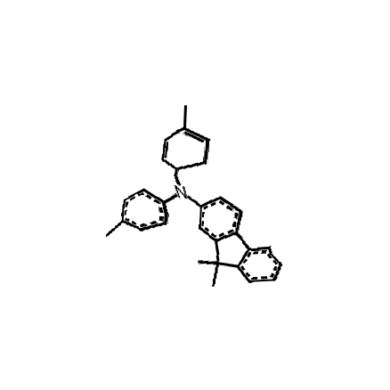 CC1=CCC(N(c2ccc(C)cc2)c2ccc3c(c2)C(C)(C)c2ccccc2-3)C=C1